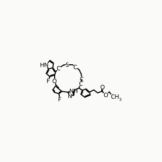 CCOC(=O)CCc1cccc(C2CCCCCCSCCc3c(c(F)cc4[nH]ccc34)Oc3ccc(F)c(c3)-c3ncc2[nH]3)c1